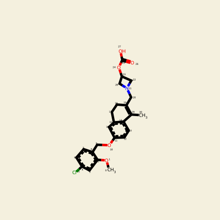 COc1cc(Cl)ccc1COc1ccc2c(c1)CCC(CN1CC(OC(=O)O)C1)=C2C